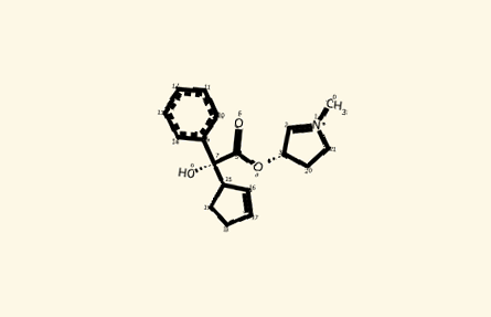 C[N+]1=C[C@@H](OC(=O)[C@](O)(c2ccccc2)C2C=CCC2)CC1